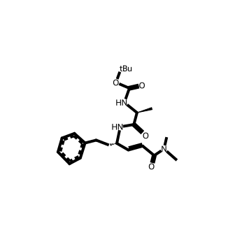 C[C@H](NC(=O)OC(C)(C)C)C(=O)N[C@H](/C=C/C(=O)N(C)C)CCc1ccccc1